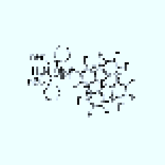 CCCCC1(C(CCC)[NH2+]C(CCC)C2(CCCC)CCCCC2)CCCCC1.Fc1c(F)c(F)c([B-](c2c(F)c(F)c(F)c(F)c2F)(c2c(F)c(F)c(F)c(F)c2F)c2c(F)c(F)c(F)c(F)c2F)c(F)c1F